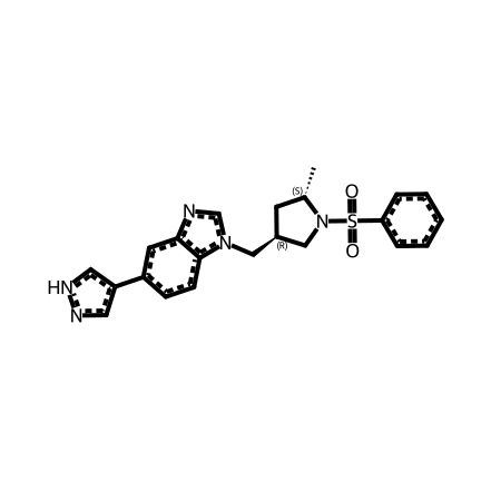 C[C@H]1C[C@H](Cn2cnc3cc(-c4cn[nH]c4)ccc32)CN1S(=O)(=O)c1ccccc1